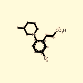 CC1CCCN(c2ccc(Br)cc2C=CC(=O)O)C1